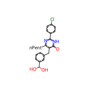 CCCCCc1nc(-c2ccc(Cl)cc2)[nH]c(=O)c1Cc1cccc(C(O)O)c1